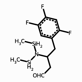 C[SiH2]N([SiH2]C)C(CC=O)Cc1cc(F)c(F)cc1F